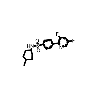 CC1CCC(NS(=O)(=O)c2ccc(-c3ncc(F)cc3F)cc2)CC1